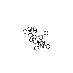 CC1(C)c2ccccc2-c2cc3c(cc21)Oc1ccc(-c2ccccc2-c2nc(-c4ccccc4)nc(-c4cccc(-c5ccccc5)c4)n2)cc1O3